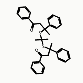 CC(C)(SC(C)(CC(=O)c1ccccc1)c1ccccc1)SC(C)(CC(=O)c1ccccc1)c1ccccc1